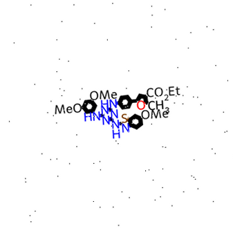 CCOC(=O)c1cc(-c2ccc(Nc3nc(Nc4cc(OC)cc(OC)c4)nc(Nc4nc5ccc(OC)cc5s4)n3)cc2)oc1C